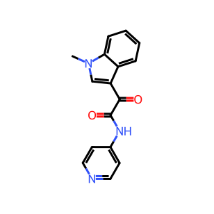 Cn1cc(C(=O)C(=O)Nc2ccncc2)c2ccccc21